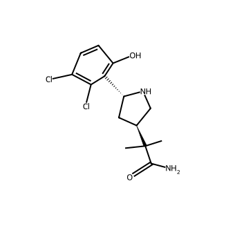 CC(C)(C(N)=O)[C@@H]1CN[C@@H](c2c(O)ccc(Cl)c2Cl)C1